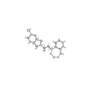 Clc1cc2sc(N/N=C3\CCCOc4cccnc43)nc2cn1